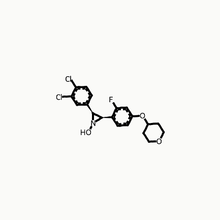 ON1[C@H](c2ccc(OC3CCOCC3)cc2F)[C@@H]1c1ccc(Cl)c(Cl)c1